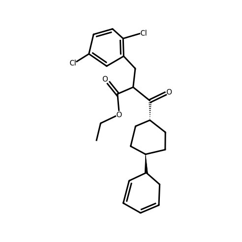 CCOC(=O)C(Cc1cc(Cl)ccc1Cl)C(=O)[C@H]1CC[C@H](C2C=CC=CC2)CC1